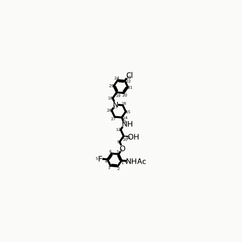 CC(=O)Nc1ccc(F)cc1OC[C@H](O)CNC1CCN(Cc2ccc(Cl)cc2)CC1